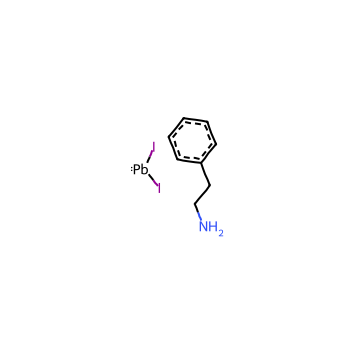 NCCc1ccccc1.[I][Pb][I]